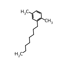 [CH2]CCCCCCCc1cc(C)ccc1C